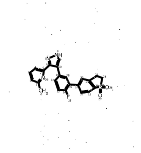 Cc1cccc(-c2n[nH]cc2-c2ccc(F)c(-c3ccc4c(c3)CCS4(=O)=O)c2)n1